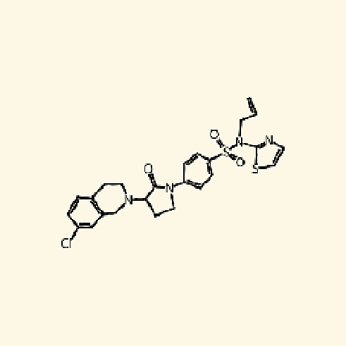 C=CCN(c1nccs1)S(=O)(=O)c1ccc(N2CCC(N3CCc4ccc(Cl)cc4C3)C2=O)cc1